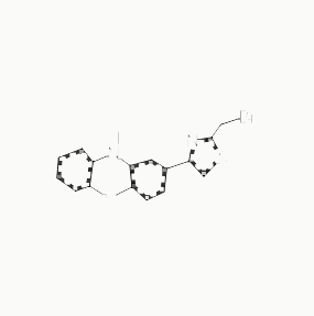 BrCc1nc(-c2ccc3c(c2)Nc2ccccc2S3)cs1